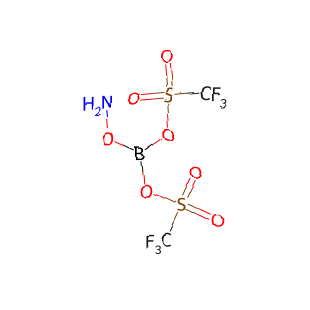 NOB(OS(=O)(=O)C(F)(F)F)OS(=O)(=O)C(F)(F)F